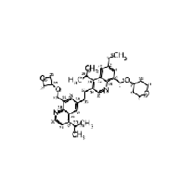 CCc1cc(COC2CCOCC2)c2ncc(CCc3cc(COC4COC4)c4nccc(C(C)C)c4c3)c(C(C)C)c2c1